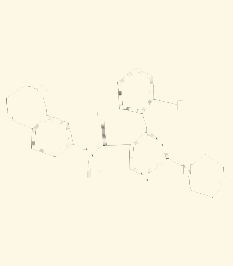 CC(C)N(C(=O)c1cnc(N2CCOCC2)nc1-c1ccccc1F)c1ccc2c(c1)OCCO2